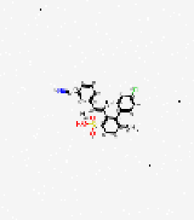 CC(=C(C)c1c(S(=O)(=O)O)ccc(C)c1-c1ccc(Cl)cc1)c1cccc(C#N)c1